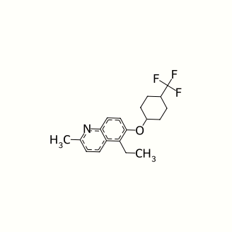 CCc1c(OC2CCC(C(F)(F)F)CC2)ccc2nc(C)ccc12